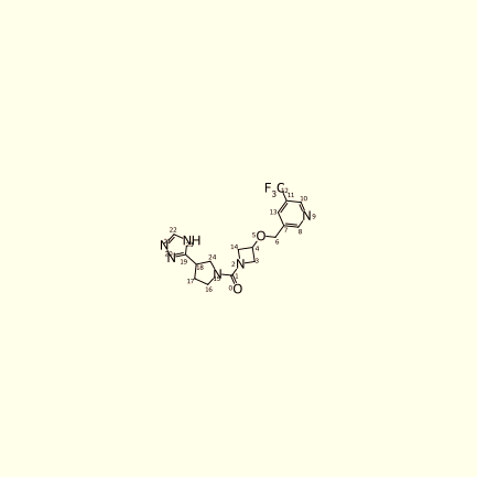 O=C(N1CC(OCc2cncc(C(F)(F)F)c2)C1)N1CCC(c2nnc[nH]2)C1